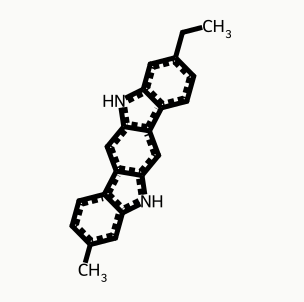 CCc1ccc2c(c1)[nH]c1cc3c(cc12)[nH]c1cc(C)ccc13